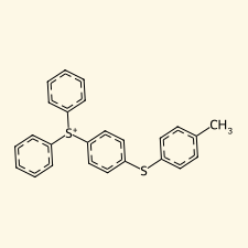 Cc1ccc(Sc2ccc([S+](c3ccccc3)c3ccccc3)cc2)cc1